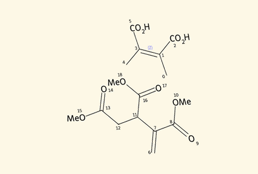 C/C(C(=O)O)=C(\C)C(=O)O.C=C(C(=O)OC)C(CC(=O)OC)C(=O)OC